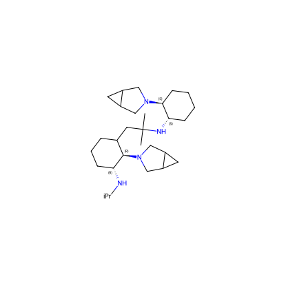 CC(C)N[C@@H]1CCCC(CC(C)(C)N[C@H]2CCCC[C@@H]2N2CC3CC3C2)[C@H]1N1CC2CC2C1